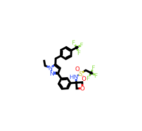 CCn1nc(-c2cccc(C3(NS(=O)(=O)CC(F)(F)F)COC3)c2)cc1Cc1ccc(C(F)(F)F)cc1